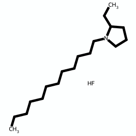 CCCCCCCCCCCCN1CCCC1CC.F